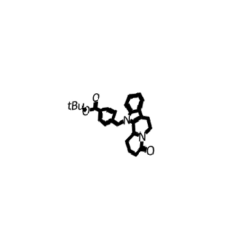 CC(C)(C)OC(=O)c1ccc(Cn2c3c(c4ccccc42)CCN2C(=O)CCCC32)cc1